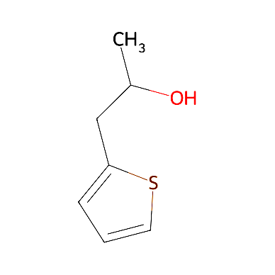 CC(O)Cc1cccs1